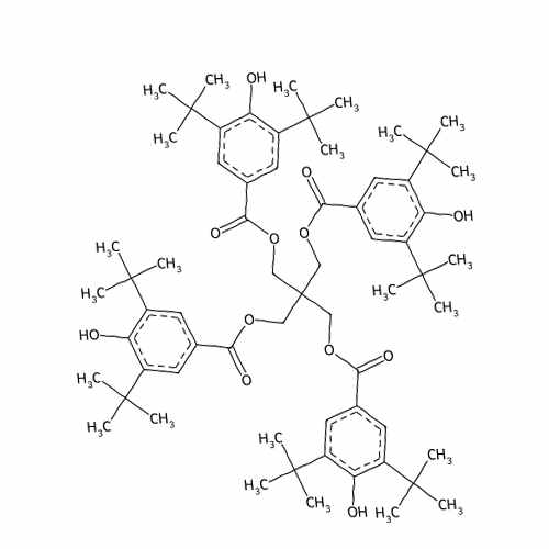 CC(C)(C)c1cc(C(=O)OCC(COC(=O)c2cc(C(C)(C)C)c(O)c(C(C)(C)C)c2)(COC(=O)c2cc(C(C)(C)C)c(O)c(C(C)(C)C)c2)COC(=O)c2cc(C(C)(C)C)c(O)c(C(C)(C)C)c2)cc(C(C)(C)C)c1O